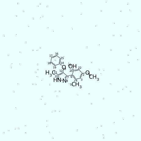 COc1cc(C)c(-c2n[nH]c(C)c2Oc2ccccc2)c(O)c1